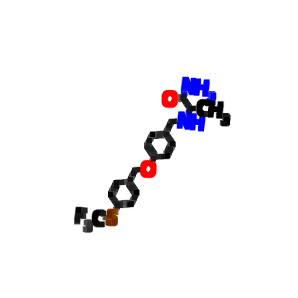 CC(NCc1ccc(OCc2ccc(SC(F)(F)F)cc2)cc1)C(N)=O